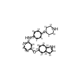 c1nc(Nc2ccc(N3CCNCC3)cc2)cc(Oc2ccc3[nH]ccc3c2)n1